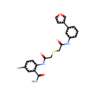 COC(=O)c1cc(Cl)ccc1NC(=O)CSCC(=O)Nc1cccc(-c2ccoc2)c1